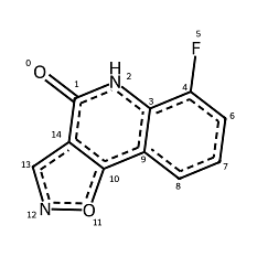 O=c1[nH]c2c(F)cccc2c2oncc12